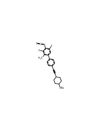 CCCCC1CCC(C#Cc2ccc(-c3cc(F)c(N=C=S)c(F)c3C)cc2)CC1